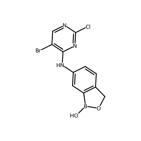 OB1OCc2ccc(Nc3nc(Cl)ncc3Br)cc21